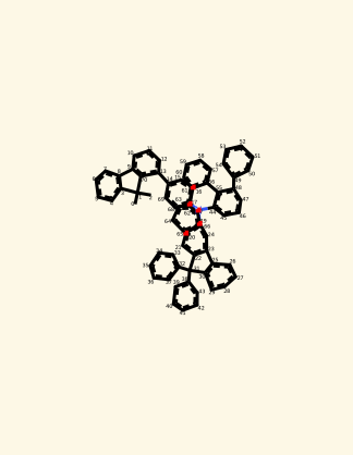 CC1(C)c2ccccc2-c2cccc(-c3ccc(N(c4ccc5c(c4)-c4ccccc4C5(c4ccccc4)c4ccccc4)c4cccc(-c5ccccc5)c4-c4ccccc4-c4ccccc4)cc3)c21